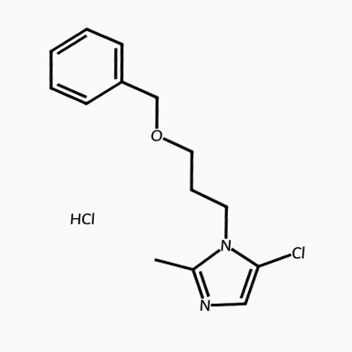 Cc1ncc(Cl)n1CCCOCc1ccccc1.Cl